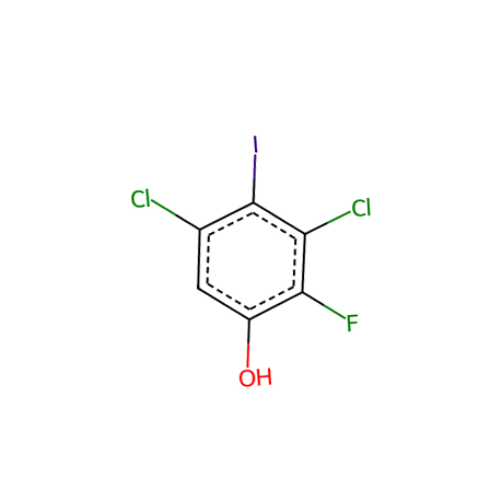 Oc1cc(Cl)c(I)c(Cl)c1F